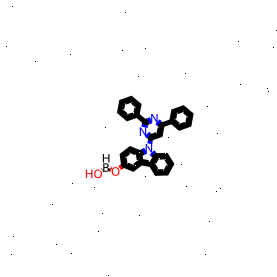 OBOc1ccc2c(c1)c1ccccc1n2-c1cc(-c2ccccc2)nc(-c2ccccc2)n1